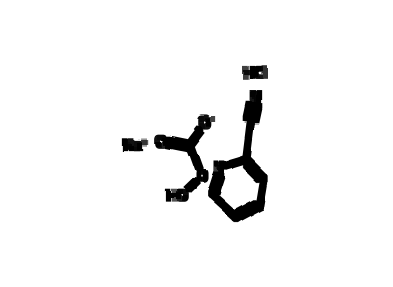 Cl.N#Cc1ccccn1.O=C([O-])OO.[Na+]